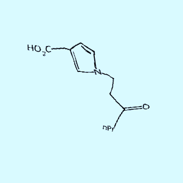 CCCC(=O)CCn1ccc(C(=O)O)c1